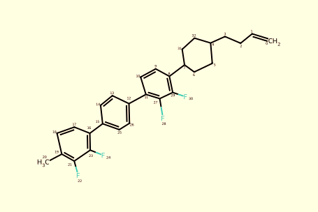 C=CCCC1CCC(c2ccc(-c3ccc(-c4ccc(C)c(F)c4F)cc3)c(F)c2F)CC1